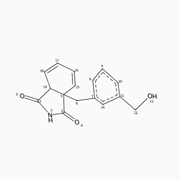 O=C1NC(=O)C2(Cc3cccc(CO)c3)C=CC=CC12